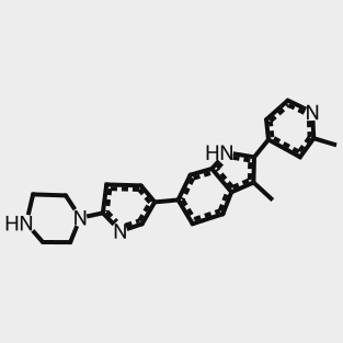 Cc1cc(-c2[nH]c3cc(-c4ccc(N5CCNCC5)nc4)ccc3c2C)ccn1